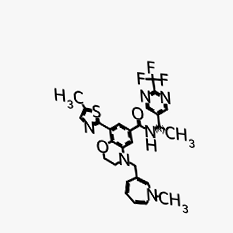 Cc1cnc(-c2cc(C(=O)N[C@H](C)c3cnc(C(F)(F)F)nc3)cc3c2OCCN3CC2=CN(C)C=CC=C2)s1